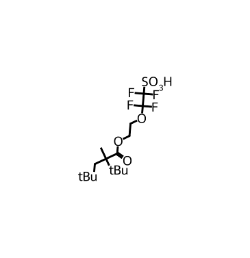 CC(C)(C)CC(C)(C(=O)OCCOC(F)(F)C(F)(F)S(=O)(=O)O)C(C)(C)C